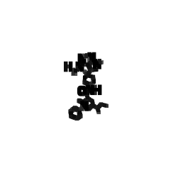 C=C1C(C(=O)NC2=CCC(C)(c3cn(C)c4ncnc(N)c34)C=C2)CC(C(C)CC)=CN1c1ccccc1